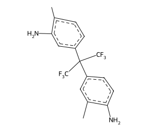 Cc1cc(C(c2ccc(C)c(N)c2)(C(F)(F)F)C(F)(F)F)ccc1N